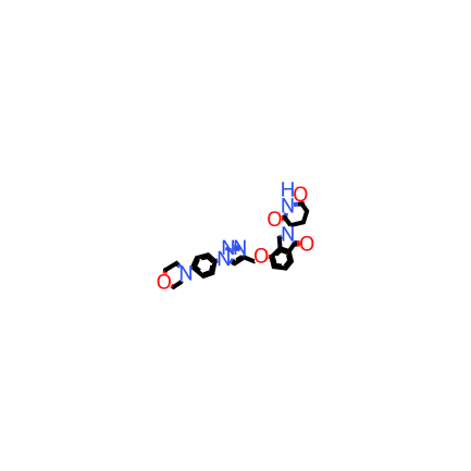 O=C1CCC(N2Cc3c(OCc4cn(-c5ccc(N6CCOCC6)cc5)nn4)cccc3C2=O)C(=O)N1